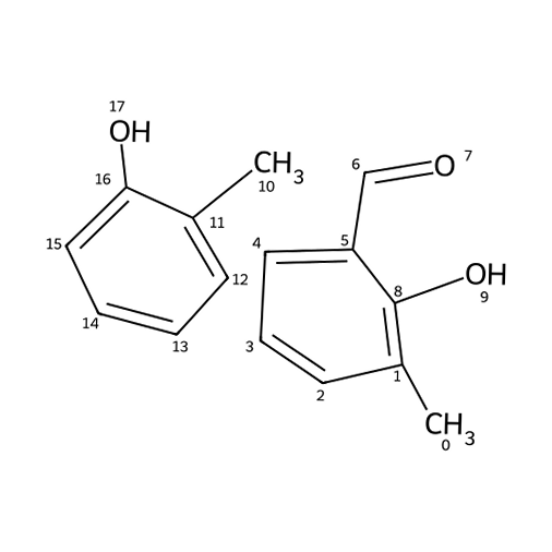 Cc1cccc(C=O)c1O.Cc1ccccc1O